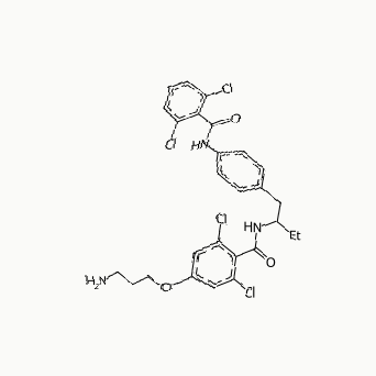 CCC(Cc1ccc(NC(=O)c2c(Cl)cccc2Cl)cc1)NC(=O)c1c(Cl)cc(OCCCN)cc1Cl